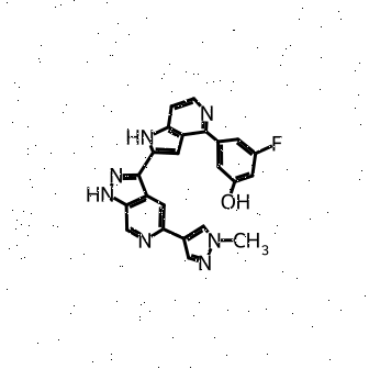 Cn1cc(-c2cc3c(-c4cc5c(-c6cc(O)cc(F)c6)nccc5[nH]4)n[nH]c3cn2)cn1